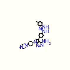 Cc1ccc2[nH]c(Nc3ccc(-c4cn([C@H]5CC[C@H](N6CCN(C)CC6)CC5)c5ncnc(N)c45)cc3)nc2c1